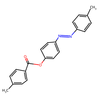 Cc1ccc(N=Nc2ccc(OC(=O)c3ccc(C)cc3)cc2)cc1